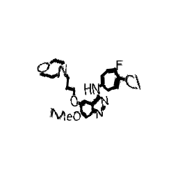 COc1cc2ncnc(NC3=CC=C(F)C(Cl)=CC3)c2cc1OCCCN1CCOCC1